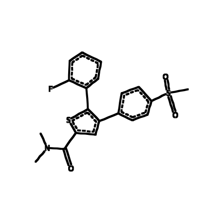 CN(C)C(=O)c1cc(-c2ccc(S(C)(=O)=O)cc2)c(-c2ccccc2F)s1